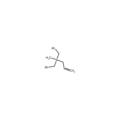 C=CC[Si](C)(CC(C)C)CC(C)C